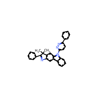 CC1(C)C(c2ccccc2)=Nc2cc3c4ccccc4n(-c4ccc(-c5ccccc5)nn4)c3cc21